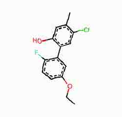 CCOc1ccc(F)c(-c2cc(Cl)c(C)cc2O)c1